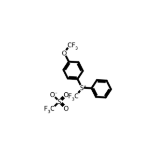 FC(F)(F)Oc1ccc([S+](c2ccccc2)C(F)(F)F)cc1.O=S(=O)([O-])C(F)(F)F